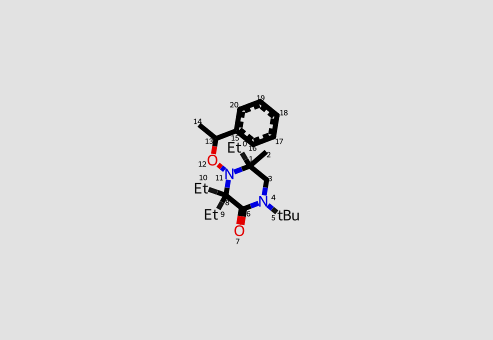 CCC1(C)CN(C(C)(C)C)C(=O)C(CC)(CC)N1OC(C)c1ccccc1